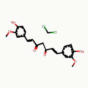 COc1cc(/C=C/C(=O)CC(=O)/C=C/c2ccc(O)c(OC)c2)ccc1O.ClCCl